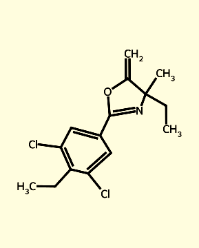 C=C1OC(c2cc(Cl)c(CC)c(Cl)c2)=NC1(C)CC